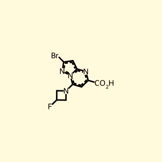 O=C(O)c1cc(N2CC(F)C2)n2nc(Br)cc2n1